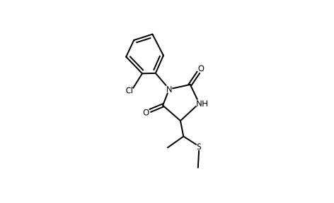 CSC(C)C1NC(=O)N(c2ccccc2Cl)C1=O